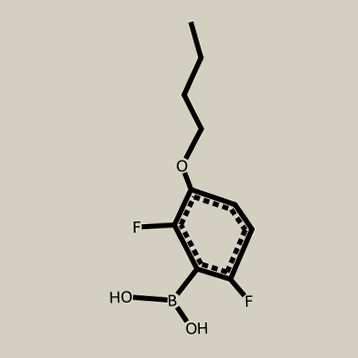 CCCCOc1ccc(F)c(B(O)O)c1F